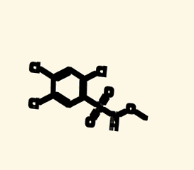 CONS(=O)(=O)c1cc(Cl)c(Cl)cc1Cl